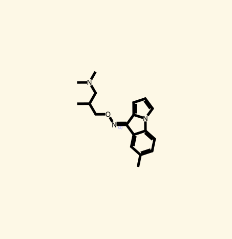 Cc1ccc2c(c1)/C(=N/OCC(C)CN(C)C)c1cccn1-2